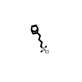 C[Si](C)(Cl)CCCCC1CC2C=CC1C2